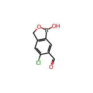 O=Cc1cc2c(cc1Cl)COB2O